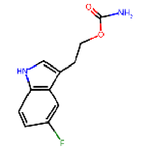 NC(=O)OCCc1c[nH]c2ccc(F)cc12